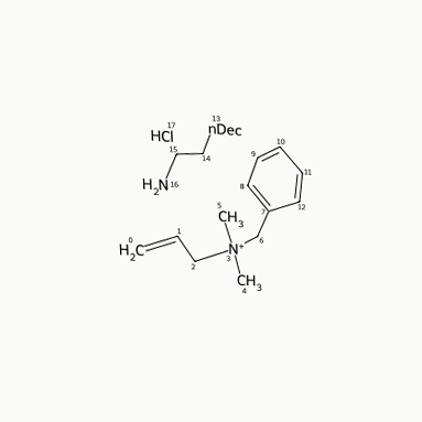 C=CC[N+](C)(C)Cc1ccccc1.CCCCCCCCCCCCN.Cl